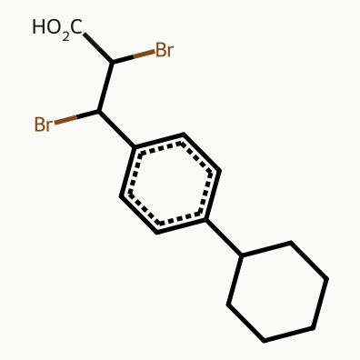 O=C(O)C(Br)C(Br)c1ccc(C2CCCCC2)cc1